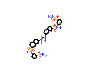 NS(=O)(=O)c1cccc(NS(=O)(=O)c2ccc3ccc(NC(=O)Nc4ccc5ccc(S(=O)(=O)Nc6cccc(S(N)(=O)=O)c6)cc5c4)cc3c2)c1